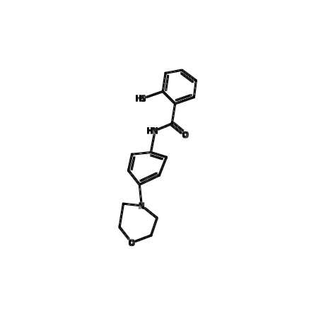 O=C(Nc1ccc(N2CCOCC2)cc1)c1ccccc1S